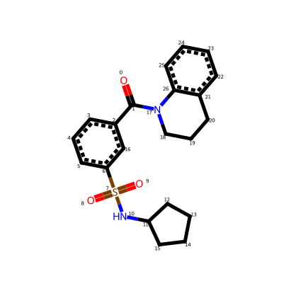 O=C(c1cccc(S(=O)(=O)NC2CCCC2)c1)N1CCCc2ccccc21